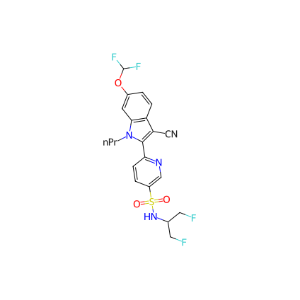 CCCn1c(-c2ccc(S(=O)(=O)NC(CF)CF)cn2)c(C#N)c2ccc(OC(F)F)cc21